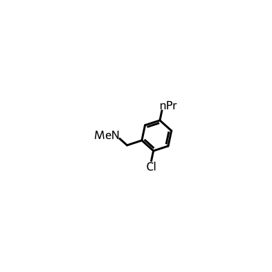 CCCc1ccc(Cl)c(CNC)c1